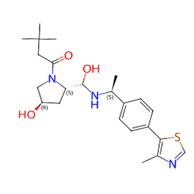 Cc1ncsc1-c1ccc([C@H](C)NC(O)[C@@H]2C[C@@H](O)CN2C(=O)CC(C)(C)C)cc1